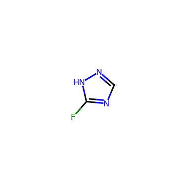 Fc1n[c]n[nH]1